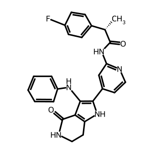 C[C@H](C(=O)Nc1cc(-c2[nH]c3c(c2Nc2ccccc2)C(=O)NCC3)ccn1)c1ccc(F)cc1